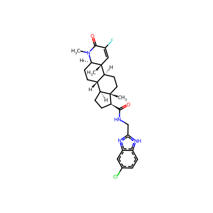 CN1C(=O)C(F)=C[C@]2(C)[C@H]3CC[C@]4(C)[C@@H](C(=O)NCc5nc6cc(Cl)ccc6[nH]5)CC[C@H]4[C@@H]3CC[C@@H]12